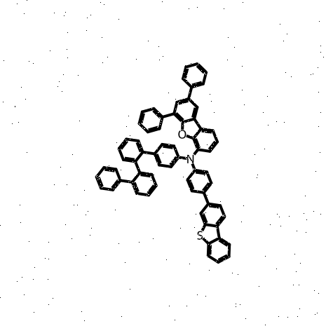 c1ccc(-c2cc(-c3ccccc3)c3oc4c(N(c5ccc(-c6ccc7c(c6)sc6ccccc67)cc5)c5ccc(-c6ccccc6-c6ccccc6-c6ccccc6)cc5)cccc4c3c2)cc1